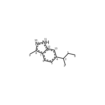 CCC(C)c1ccc2c(C)n[nH]c2c1